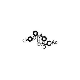 CCN(C(=O)C1CCN(C(C)=O)CC1)c1cccc(C(C)Nc2ccccc2Oc2ccc(Cl)cc2)c1